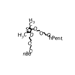 CCCCCOCCOCCOc1c(C)sc(C)c1OCCOCCOCCCC